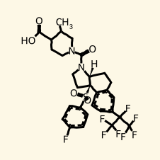 CC1CN(C(=O)N2CC[C@@]3(S(=O)(=O)c4ccc(F)cc4)c4ccc(C(F)(C(F)(F)F)C(F)(F)F)cc4CC[C@@H]23)CCC1C(=O)O